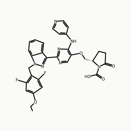 CCOc1cc(F)c(Cn2nc(-c3ncc(OC[C@@H]4CCC(=O)N4C(=O)O)c(Nc4ccncc4)n3)c3ccccc32)c(F)c1